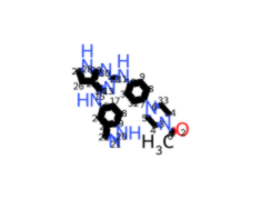 CC(=O)N1CCN(c2ccc(Nc3nc(Nc4ccc5[nH]ncc5c4)c4cc[nH]c4n3)cc2)CC1